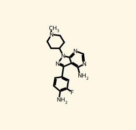 CN1CCC(n2nc(-c3ccc(N)c(F)c3)c3c(N)ncnc32)CC1